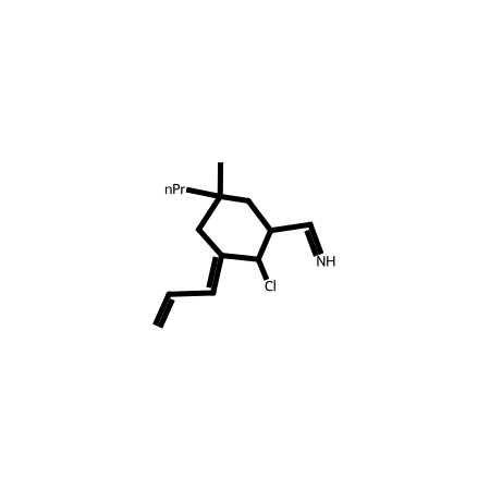 C=C/C=C1\CC(C)(CCC)CC(C=N)C1Cl